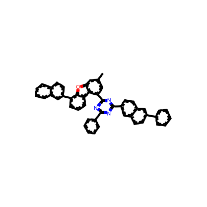 Cc1cc(-c2nc(-c3ccccc3)nc(-c3ccc4cc(-c5ccccc5)ccc4c3)n2)c2c(c1)oc1c(-c3ccc4ccccc4c3)cccc12